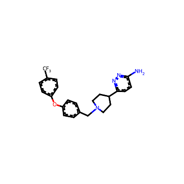 Nc1ccc(C2CCN(Cc3ccc(Oc4ccc(C(F)(F)F)cc4)cc3)CC2)nn1